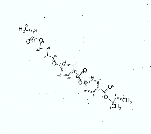 C=CC(=C)OC(=O)c1ccc(OC(=O)c2ccc(OCCCCOC(=O)C=C)cc2)cc1